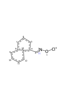 ClO/N=C/c1cccc2ccccc12